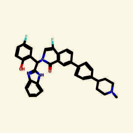 CN1CCC(c2ccc(-c3ccc4c(F)cn(C(c5nc6ccccc6[nH]5)c5cc(F)ccc5O)c(=O)c4c3)cc2)CC1